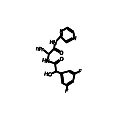 CCCC(NC(=O)C(O)c1cc(F)cc(F)c1)C(=O)Nc1cnccn1